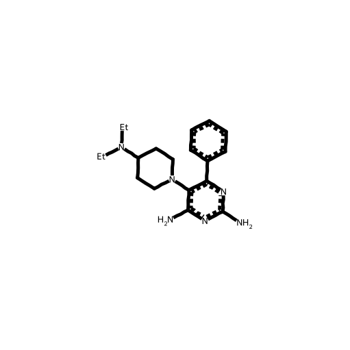 CCN(CC)C1CCN(c2c(N)nc(N)nc2-c2ccccc2)CC1